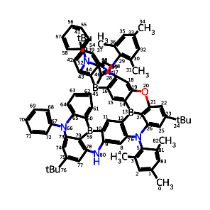 Cc1cc(C)c(N2c3cc4c(cc3B3c5cc6c(cc5Oc5cc(C(C)(C)C)cc2c53)N(c2c(C)cc(C)cc2C)c2cc(C(C)(C)C)cc3c2B6c2ccccc2N3c2ccccc2)B2c3ccccc3N(c3ccccc3)c3cc(C(C)(C)C)cc(c32)N4)c(C)c1